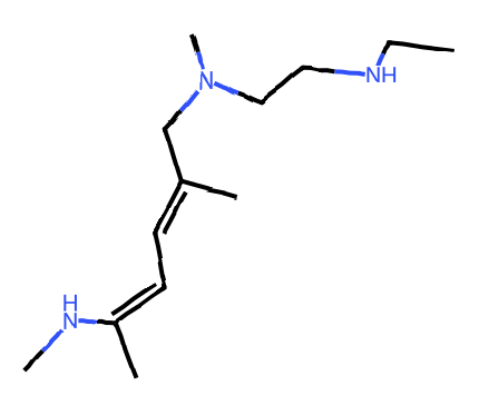 CCNCCN(C)C/C(C)=C/C=C(/C)NC